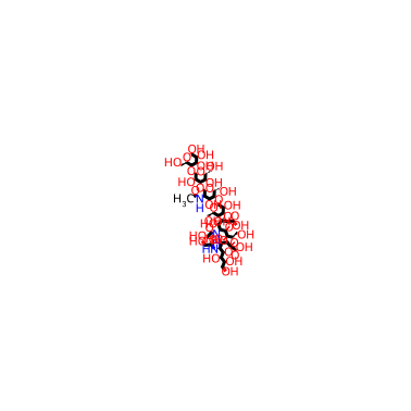 CC(=O)N[C@H]1[C@H](O[C@H]2[C@@H](O)[C@@H](CO)O[C@@H](O[C@H]3[C@H](O)[C@@H](O)[C@H](O)O[C@@H]3CO)[C@@H]2O)O[C@H](CO)[C@@H](O[C@@H]2O[C@H](CO)[C@H](O)[C@H](O[C@]3(C(=O)O)C[C@H](O)[C@@H](NC(=O)CO)[C@H]([C@H](O)[C@@H](CO)O[C@]4(C(=O)O)C[C@H](O)[C@@H](NC(=O)CO)[C@H]([C@H](O)[C@H](O)CO)O4)O3)[C@H]2O)[C@@H]1O